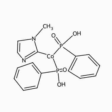 Cn1ccn[c]1[Co]([P](=O)(O)c1ccccc1)[P](=O)(O)c1ccccc1